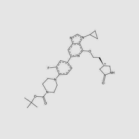 CC(C)(C)OC(=O)N1CCN(c2ccc(-c3cc4ncn(C5CC5)c4c(OCC[C@H]4CNC(=O)C4)n3)cc2F)CC1